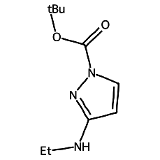 CCNc1ccn(C(=O)OC(C)(C)C)n1